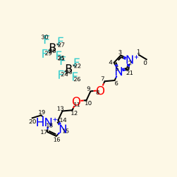 CC[n+]1ccn(CCOCCOCCC2=NC=C[NH+]2CC)c1.F[B-](F)(F)F.F[B-](F)(F)F